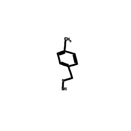 Cc1ccc(CSS)cc1